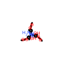 CCOCCOc1ccc(-c2nc(-c3ccc(OCCOCC)c(C)c3O)nc(-c3ccc(OCCOCC)c(C)c3O)n2)c(N)c1C